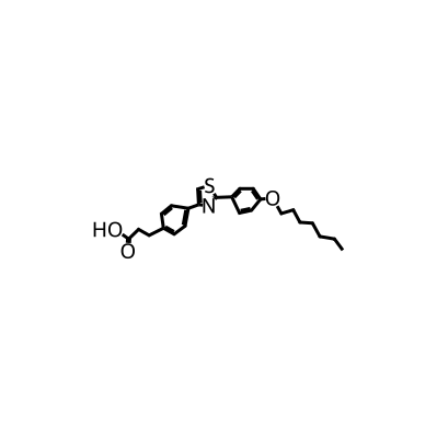 CCCCCCCOc1ccc(-c2nc(-c3ccc(CCC(=O)O)cc3)cs2)cc1